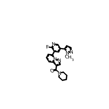 Cn1nccc1-c1cnc(F)c(-c2cccc3c(C(=O)N4CCCCC4)cnn23)c1